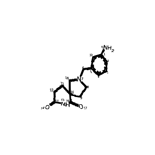 Nc1cccc(CN2CCC3(CCC(=O)NC3=O)C2)c1